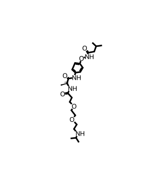 CC(C)CC(=O)NOc1ccc(NC(=O)[C@H](C)NC(=O)CCOCCOCCNC(C)C)cc1